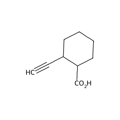 C#CC1CCCCC1C(=O)O